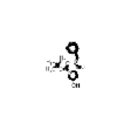 CC(C)(C)OC(=O)N1C[C@@H](O)C[C@H]1C(=O)OCc1ccccc1